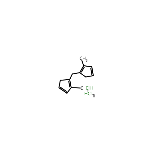 CC1=C(CC2=C(C)C=CC2)CC=C1.Cl.Cl.[Ti]